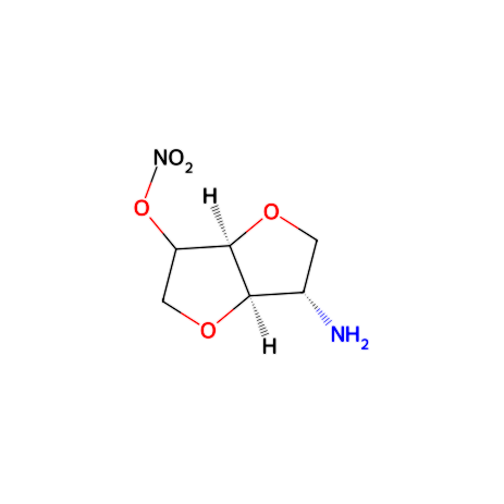 N[C@H]1CO[C@@H]2C(O[N+](=O)[O-])CO[C@@H]21